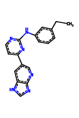 CCc1cccc(Nc2nccc(-c3cnc4nc[nH]c4c3)n2)c1